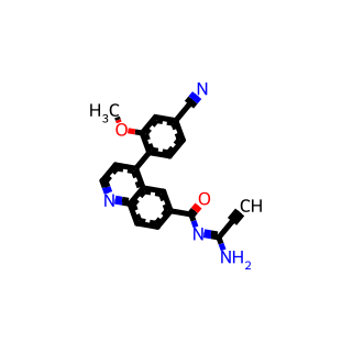 C#C/C(N)=N\C(=O)c1ccc2nccc(-c3ccc(C#N)cc3OC)c2c1